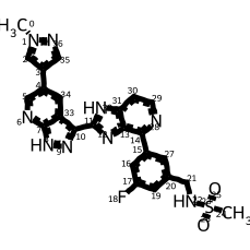 Cn1cc(-c2cnc3[nH]nc(-c4nc5c(-c6cc(F)cc(CNS(C)(=O)=O)c6)nccc5[nH]4)c3c2)cn1